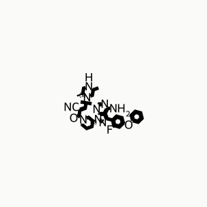 CC1CN(C(C)(C)C=C(C#N)C(=O)N2CCC[C@@H](n3nc(-c4ccc(Oc5ccccc5)cc4F)c4c(N)ncnc43)C2)[C@@H](C)CN1